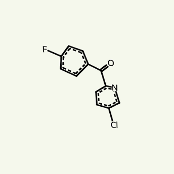 O=C(c1ccc(F)cc1)c1ccc(Cl)cn1